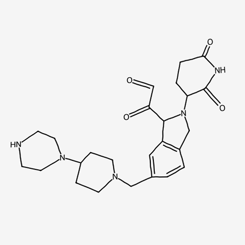 O=CC(=O)C1c2cc(CN3CCC(N4CCNCC4)CC3)ccc2CN1C1CCC(=O)NC1=O